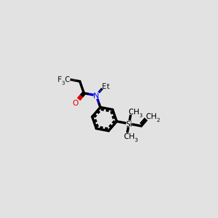 C=C[Si](C)(C)c1cccc(N(CC)C(=O)CC(F)(F)F)c1